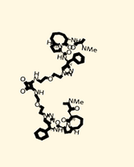 CN[C@@H](C)C(=O)C[C@H]1CCCC[C@H]2CC[C@@H](C(=O)N[C@@H](c3ccccc3)c3cn(CCOCCNc4c(NCCOCCn5cc([C@@H](NC(=O)[C@@H]6CC[C@@H]7CCCC[C@H](NC(=O)[C@H](C)NC)C(=O)N76)c6ccccc6)nn5)c(=O)c4=O)nn3)N2C1=O